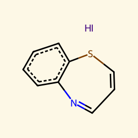 C1=CSc2ccccc2N=C1.I